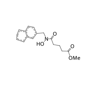 COC(=O)CCCC(=O)N(O)Cc1ccc2ccccc2c1